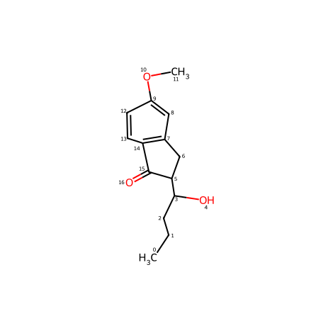 CCCC(O)C1Cc2cc(OC)ccc2C1=O